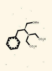 COC[C@H](Cc1ccccc1)N(CC(=O)O)CC(=O)O